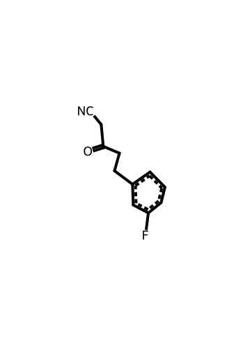 N#CCC(=O)CCc1cccc(F)c1